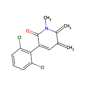 C=c1cc(-c2c(Cl)cccc2Cl)c(=O)n(C)c1=C